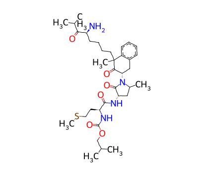 CSCC[C@H](NC(=O)OCC(C)C)C(=O)N[C@H]1CC(C)N([C@H]2Cc3ccccc3C(C)(CCCC[C@H](N)C(=O)C(C)C)C2=O)C1=O